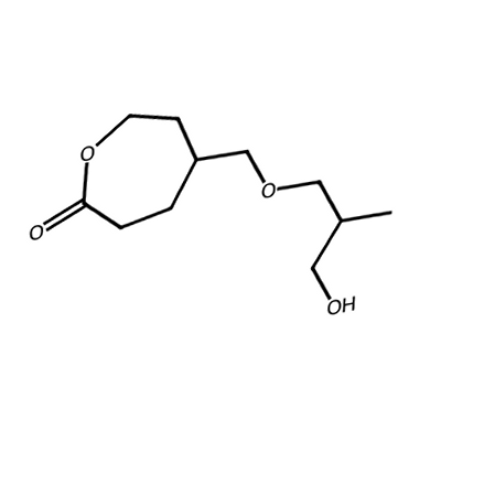 CC(CO)COCC1CCOC(=O)CC1